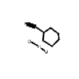 N#CC1CCCCC1.[Cl][Pt][Cl]